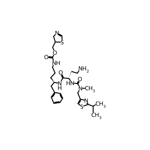 CC(C)c1nc(CN(C)C(=O)N[C@@H](CCN)C(=O)N[C@H](CCCNC(=O)OCC2CN=CS2)Cc2ccccc2)cs1